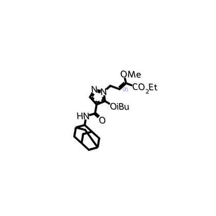 CCOC(=O)/C(=C/Cn1ncc(C(=O)NC2C3CC4CC(C3)CC2C4)c1OCC(C)C)OC